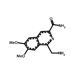 COc1cc2[c]c(C(N)=O)nc(CN)c2cc1OC